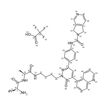 CC(C)[C@H](N)C(=O)N[C@@H](C)C(=O)NCCCCn1nc(-c2ccc(NC(=O)N3Cc4ccncc4C3)cc2)cc(-c2cccc3ncccc23)c1=O.O=C(O)C(F)(F)F